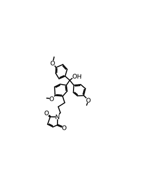 COc1ccc(C(O)(c2ccc(OC)cc2)c2ccc(OC)c(CCCN3C(=O)C=CC3=O)c2)cc1